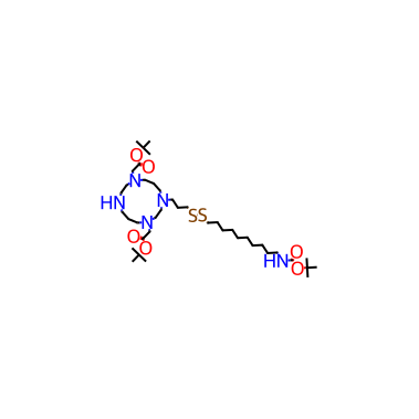 CC(C)(C)OC(=O)CN1CCCN(CCCSSCCCCCCCCCCNC(=O)OC(C)(C)C)CCN(CC(=O)OC(C)(C)C)CCCNCC1